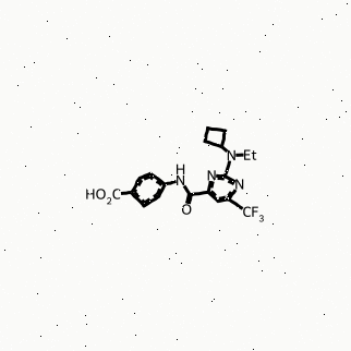 CCN(c1nc(C(=O)Nc2ccc(C(=O)O)cc2)cc(C(F)(F)F)n1)C1CCC1